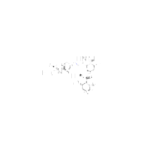 CS(C)(=O)=Nc1ccc(/C=C/C(=N)c2cc(O[C@H](N)c3c(Cl)cncc3Cl)ccc2N)cn1